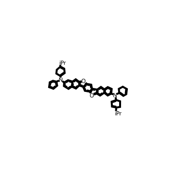 CC(C)C1=CC=C(N(C2=CC=CCC2)c2ccc3cc4c(cc3c2)oc2cc3c(cc24)oc2cc4cc(N(C5=CC=C(C(C)C)CC5)c5ccccc5)ccc4cc23)CC1